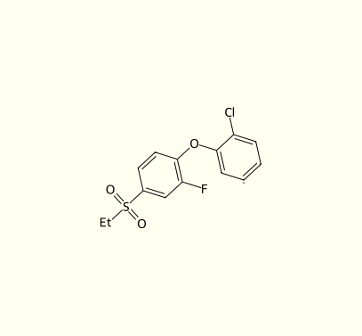 CCS(=O)(=O)c1ccc(Oc2c[c]ccc2Cl)c(F)c1